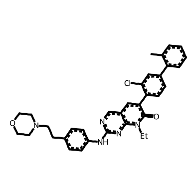 CCn1c(=O)c(-c2ccc(-c3ccccc3C)cc2Cl)cc2cnc(Nc3ccc(CCN4CCOCC4)cc3)nc21